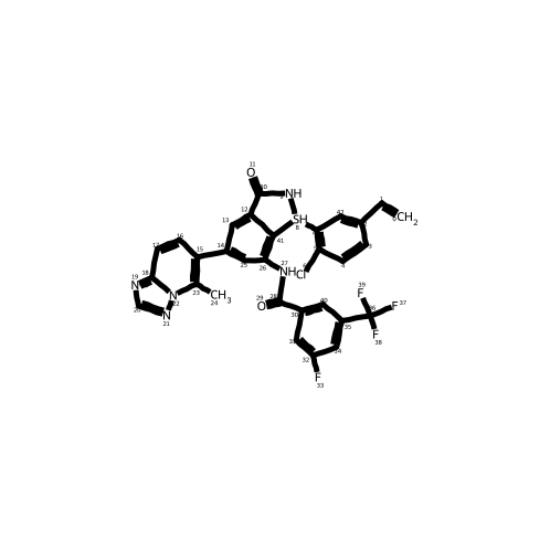 C=Cc1ccc(Cl)c([SH]2NC(=O)c3cc(-c4ccc5ncnn5c4C)cc(NC(=O)c4cc(F)cc(C(F)(F)F)c4)c32)c1